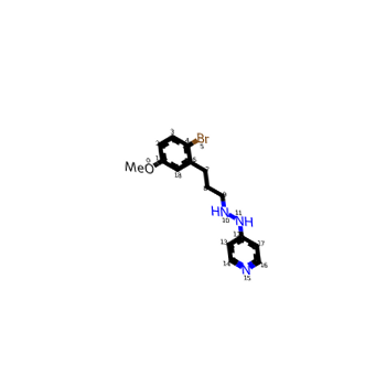 COc1ccc(Br)c(CCCNNc2ccncc2)c1